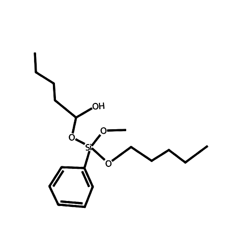 CCCCCO[Si](OC)(OC(O)CCCC)c1ccccc1